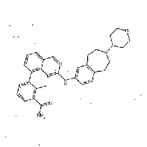 Cc1c(C(N)=O)cccc1-c1cccc2cnc(Nc3ccc4c(c3)CCN(C3CCOCC3)CC4)nc12